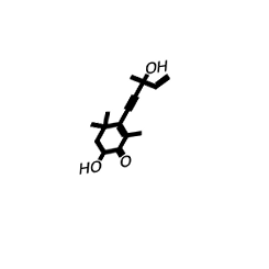 C=CC(C)(O)C#CC1=C(C)C(=O)C(O)CC1(C)C